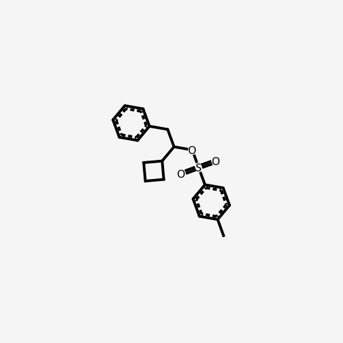 Cc1ccc(S(=O)(=O)OC(Cc2ccccc2)C2CCC2)cc1